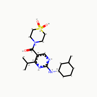 CC1CCC[C@H](Nc2ncc(C(=O)N3CCS(=O)(=O)CC3)c(C(C)C)n2)C1